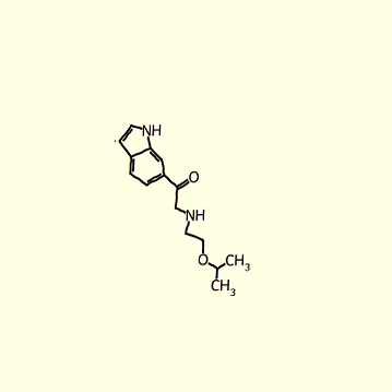 CC(C)OCCNCC(=O)c1ccc2[c]c[nH]c2c1